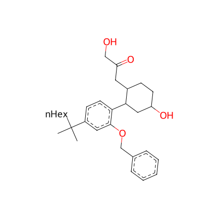 CCCCCCC(C)(C)c1ccc(C2CC(O)CCC2CC(=O)CO)c(OCc2ccccc2)c1